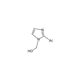 CC(=O)c1nccn1CO